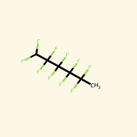 CC(F)(F)C(F)(F)C(F)(F)C(F)(F)[C](F)F